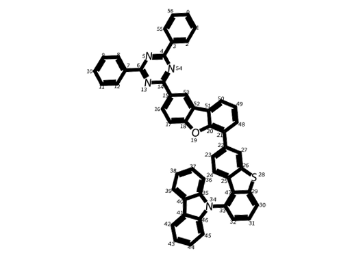 c1ccc(-c2nc(-c3ccccc3)nc(-c3ccc4oc5c(-c6ccc7c(c6)sc6cccc(-n8c9ccccc9c9ccccc98)c67)cccc5c4c3)n2)cc1